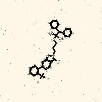 CC(C)(OCCCn1nc2cc(-c3ccccc3C(F)(F)F)ccc2c1Br)C(c1ccccc1)c1ccccc1